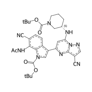 CC(=O)Nc1c(C#N)ccc2c(-c3cc(N[C@H]4CCCN(C(=O)OC(C)(C)C)C4)n4ncc(C#N)c4n3)cn(C(=O)OC(C)(C)C)c12